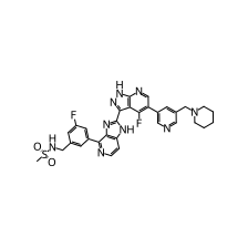 CS(=O)(=O)NCc1cc(F)cc(-c2nccc3[nH]c(-c4n[nH]c5ncc(-c6cncc(CN7CCCCC7)c6)c(F)c45)nc23)c1